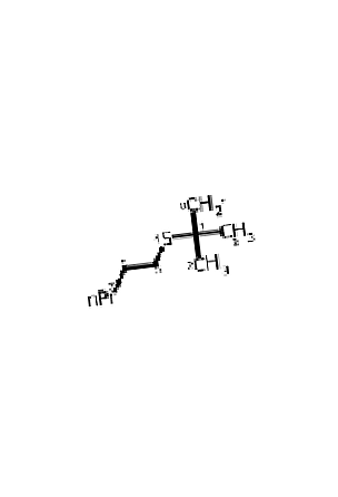 [CH2]C(C)(C)SCCCCC